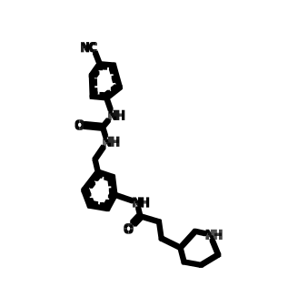 N#Cc1ccc(NC(=O)NCc2cccc(NC(=O)CCC3CCCNC3)c2)cc1